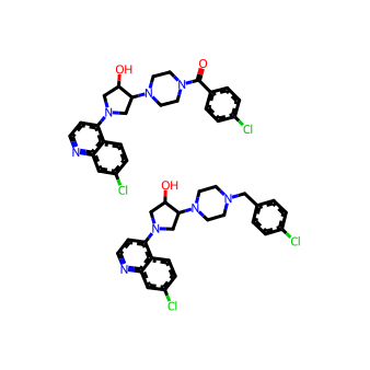 O=C(c1ccc(Cl)cc1)N1CCN(C2CN(c3ccnc4cc(Cl)ccc34)CC2O)CC1.OC1CN(c2ccnc3cc(Cl)ccc23)CC1N1CCN(Cc2ccc(Cl)cc2)CC1